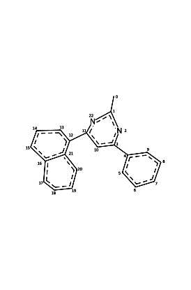 Cc1nc(-c2ccccc2)cc(-c2cccc3ccccc23)n1